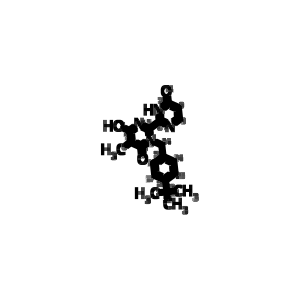 Cc1c(O)nc(-c2nccc(=O)[nH]2)n(Cc2ccc(C(C)(C)C)cc2)c1=O